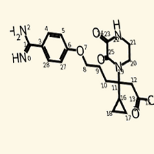 N=C(N)c1ccc(OCCCC(CC(=O)O)(C2CC2)N2CCNC(=O)C2=O)cc1